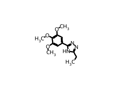 CCc1nnc(-c2cc(OC)c(OC)c(OC)c2)[nH]1